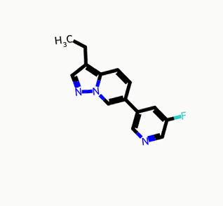 CCc1cnn2cc(-c3cncc(F)c3)ccc12